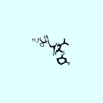 CC(C)c1nc(CNC(N)=O)n(C)c1Sc1cccc(F)c1